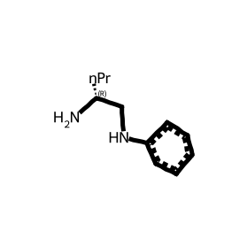 CCC[C@@H](N)CNc1ccccc1